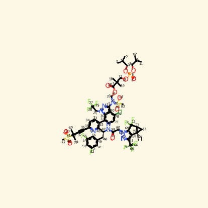 CC(C)COP(=O)(OCC(C)C)OCC(C)(C)C(=O)OCN(c1nn(CC(F)(F)F)c2c(-c3ccc(C#CC(C)(C)S(C)(=O)=O)nc3[C@H](Cc3cc(F)cc(F)c3)NC(=O)Cn3nc(C(F)(F)F)c4c3C(F)(F)C3C[C@H]43)ccc(Cl)c12)S(C)(=O)=O